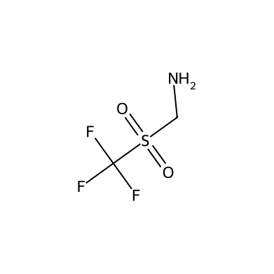 NCS(=O)(=O)C(F)(F)F